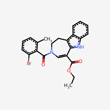 CCOC(=O)C1=CN(C(=O)c2c(C)cccc2Br)CCc2c1[nH]c1ccccc21